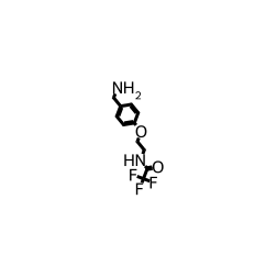 NCc1ccc(OCCNC(=O)C(F)(F)F)cc1